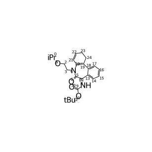 CC(C)OCCN1C(=O)[C@@H](NC(=O)OC(C)(C)C)c2ccccc2C2=C1C=CCC2